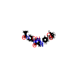 CC1(C)OB(c2ccc(-n3ncc4c(=O)n(CC5(O)CCN(C(=O)C6CC6)CC5)cnc43)cc2)OC1(C)C